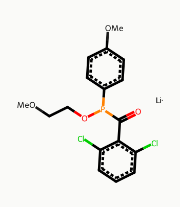 COCCOP(C(=O)c1c(Cl)cccc1Cl)c1ccc(OC)cc1.[Li]